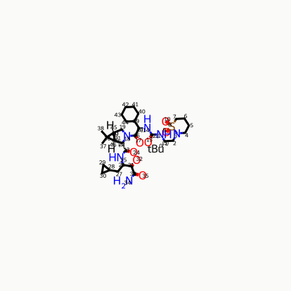 CC(C)(C)[C@@H](CN1CCCCS1(=O)=O)NC(=O)N[C@H](C(=O)N1C[C@H]2[C@@H]([C@H]1C(=O)NC(CC1CC1)C(=O)C(N)=O)C2(C)C)C1CCCCC1